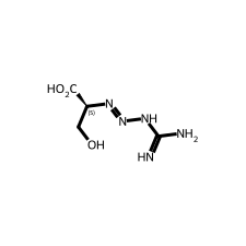 N=C(N)NN=N[C@@H](CO)C(=O)O